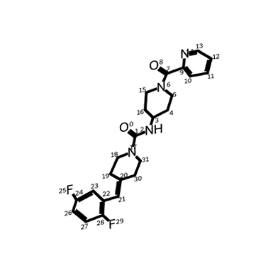 O=C(NC1CCN(C(=O)c2ccccn2)CC1)N1CCC(=Cc2cc(F)ccc2F)CC1